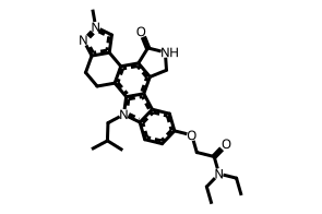 CCN(CC)C(=O)COc1ccc2c(c1)c1c3c(c4c(c1n2CC(C)C)CCc1nn(C)cc1-4)C(=O)NC3